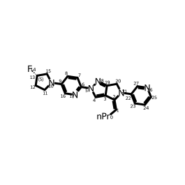 CCCC=C1c2cn(-c3ccc(N4CC[C@H](F)C4)cn3)nc2CN1c1cccnc1